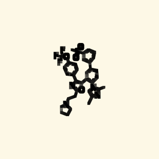 Cc1cn(-c2ccc(-c3cccc(S(C)(=O)=O)c3)cc2-c2oc(CCN3CCCC3)nc2-c2ccc(OC(F)(F)F)cc2)c(C)n1